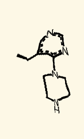 CCc1cncnc1N1CCNCC1